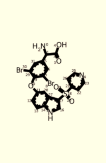 NC(C(=O)O)c1cc(Br)c(Oc2ccc3[nH]cc(S(=O)(=O)c4ccncc4)c3c2)c(Br)c1